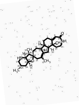 CC1=C2C[C@H]3[C@@H](CCC4=CC(=O)NCC[C@@]43C)[C@@H]2CC[C@@]2(C1)O[C@@H]1C[C@H](C)CN[C@H]1[C@H]2C